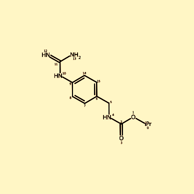 CC(C)OC(=O)NCc1ccc(NC(=N)N)cc1